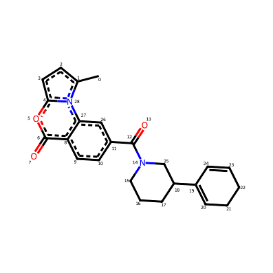 Cc1ccc2oc(=O)c3ccc(C(=O)N4CCCC(C5=CCCC=C5)C4)cc3n12